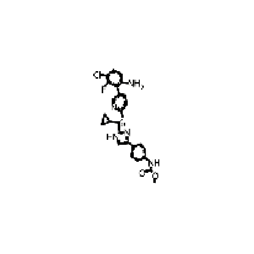 COC(=O)Nc1ccc(-c2c[nH]c([C@@H](Cc3ccc(-c4c(N)ccc(Cl)c4F)cn3)C3CC3)n2)cc1